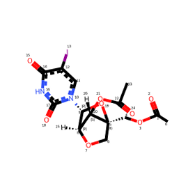 CC(=O)OC[C@@]12CO[C@@H]([C@H](n3cc(I)c(=O)[nH]c3=O)O1)[C@@H]2OC(C)=O